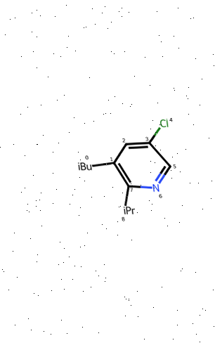 CCC(C)c1cc(Cl)cnc1C(C)C